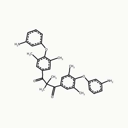 Cc1cc(C(=O)C(C)(C)C(=O)c2cc(C)c(Oc3cccc(N)c3)c(C)c2)cc(C)c1Oc1cccc(N)c1